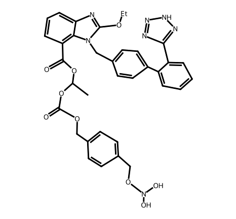 CCOc1nc2cccc(C(=O)OC(C)OC(=O)OCc3ccc(CON(O)O)cc3)c2n1Cc1ccc(-c2ccccc2-c2nn[nH]n2)cc1